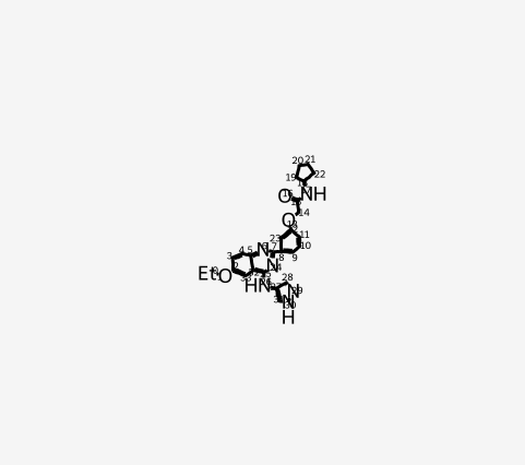 CCOc1ccc2nc(-c3cccc(OCC(=O)NC4CCCC4)c3)nc(Nc3cn[nH]c3)c2c1